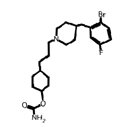 NC(=O)OC1CCC(CCCN2CCC(Cc3cc(F)ccc3Br)CC2)CC1